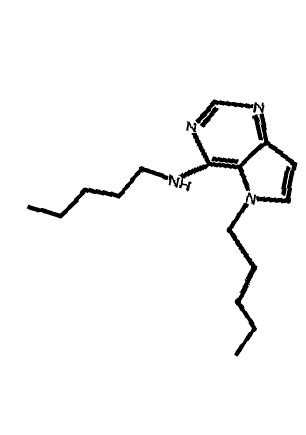 CCCCCNc1ncnc2ccn(CCCCC)c12